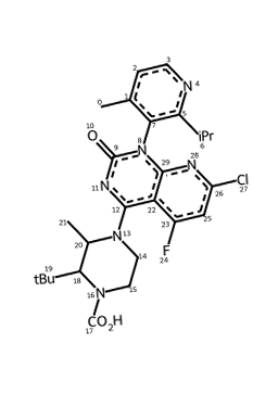 Cc1ccnc(C(C)C)c1-n1c(=O)nc(N2CCN(C(=O)O)C(C(C)(C)C)C2C)c2c(F)cc(Cl)nc21